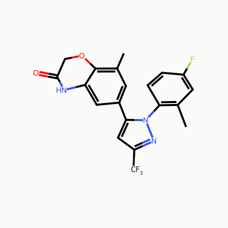 Cc1cc(F)ccc1-n1nc(C(F)(F)F)cc1-c1cc(C)c2c(c1)NC(=O)CO2